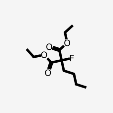 CCCCC(F)(C(=O)OCC)C(=O)OCC